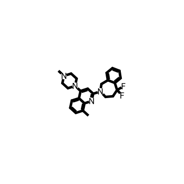 Cc1cccc2c(N3CCN(C)CC3)cc(N3CCC(F)(F)c4ccccc4C3)nc12